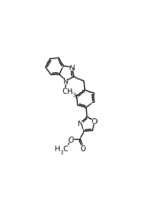 COC(=O)c1coc(-c2ccc(Cc3nc4ccccc4n3C)cc2)n1